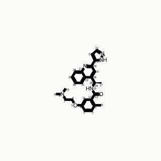 Cc1ccc(OCCN(C)C)cc1C(=O)N[C@H](C)c1cc(-c2ccn[nH]2)nc2ccccc12